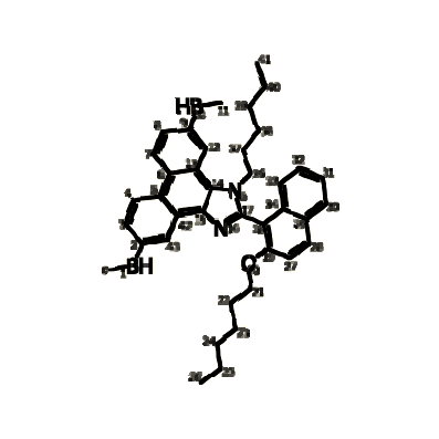 CBc1ccc2c3ccc(BC)cc3c3c(nc(-c4c(OCCCCCC)ccc5ccccc45)n3CCCCCC)c2c1